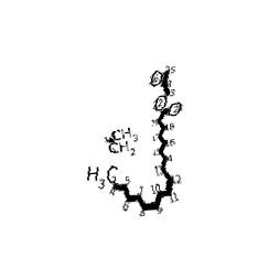 C=CC.CCCCC/C=C\C/C=C\CCCCCCCC(=O)OCC1CO1